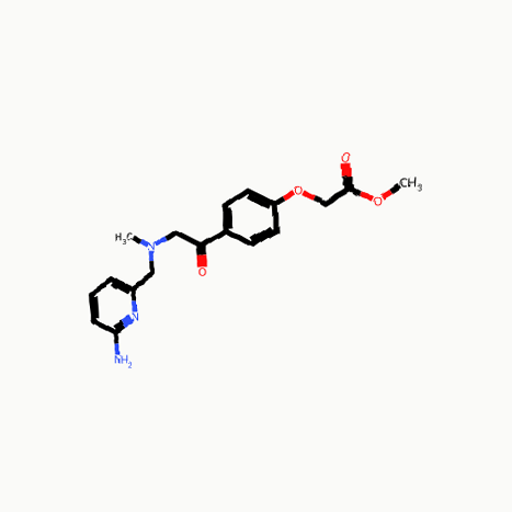 COC(=O)COc1ccc(C(=O)CN(C)Cc2cccc(N)n2)cc1